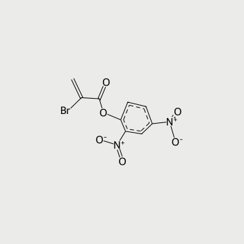 C=C(Br)C(=O)Oc1ccc([N+](=O)[O-])cc1[N+](=O)[O-]